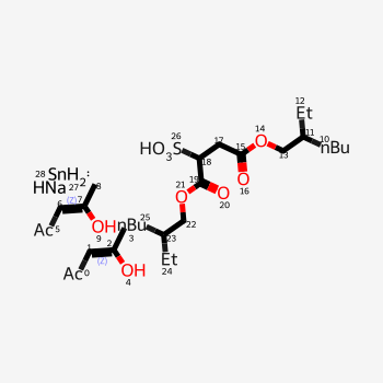 CC(=O)/C=C(/C)O.CC(=O)/C=C(/C)O.CCCCC(CC)COC(=O)CC(C(=O)OCC(CC)CCCC)S(=O)(=O)O.[NaH].[SnH2]